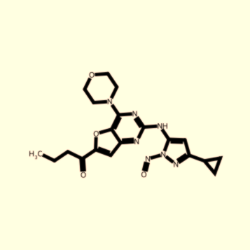 CCCC(=O)c1cc2nc(Nc3cc(C4CC4)nn3N=O)nc(N3CCOCC3)c2o1